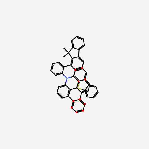 CC1(C)c2ccccc2-c2cccc(-c3ccccc3N(c3cccc(-c4ccccc4)c3-c3ccccc3-c3ccccc3)c3cccc4c3sc3ccccc34)c21